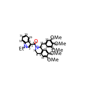 CCn1cc(C(=O)N2CCc3cc(OC)c(OC)cc3C2Cc2cc(OC)c(OC)c(OC)c2)c2ccccc21